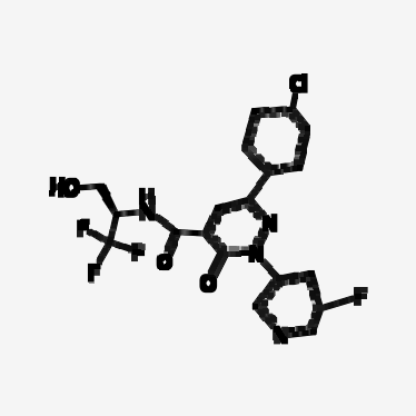 O=C(N[C@H](CO)C(F)(F)F)c1cc(-c2ccc(Cl)cc2)nn(-c2cncc(F)c2)c1=O